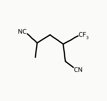 CC(C#N)CC(CC#N)C(F)(F)F